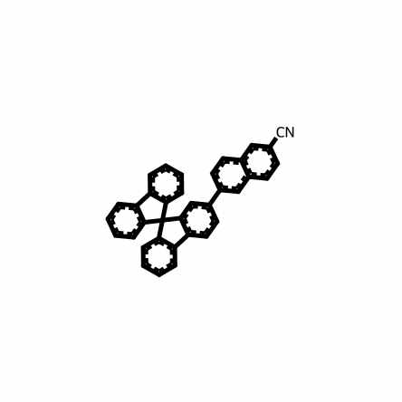 N#Cc1ccc2cc(-c3ccc4c(c3)C3(c5ccccc5-c5ccccc53)c3ccccc3-4)ccc2c1